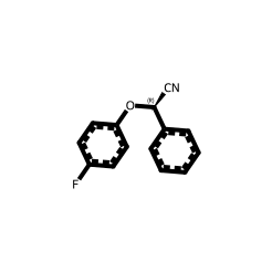 N#C[C@H](Oc1ccc(F)cc1)c1ccccc1